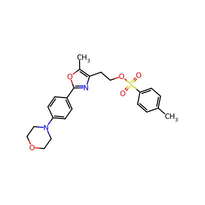 Cc1ccc(S(=O)(=O)OCCc2nc(-c3ccc(N4CCOCC4)cc3)oc2C)cc1